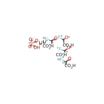 O=C(O)C(=O)F.O=C(O)C(=O)F.O=C(O)C(=O)F.O=C(O)C(=O)F.O=P([O-])([O-])O.[Li+].[Li+]